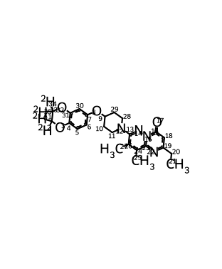 [2H]C1([2H])Oc2ccc(OC3CCN(c4nn5c(=O)cc(CC)nc5c(C)c4C)CC3)cc2OC1([2H])[2H]